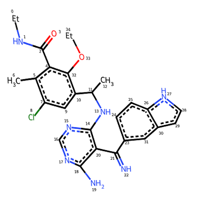 CCNC(=O)c1c(C)c(Cl)cc(C(C)Nc2ncnc(N)c2C(=N)c2ccc3[nH]ccc3c2)c1OCC